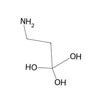 NCCC(O)(O)O